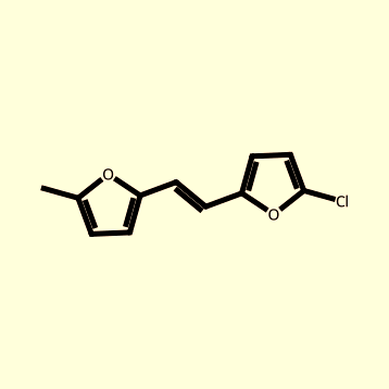 Cc1ccc(/C=C/c2ccc(Cl)o2)o1